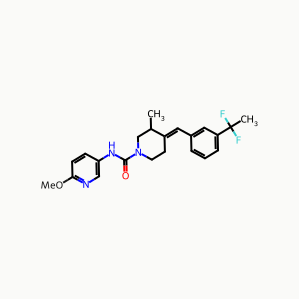 COc1ccc(NC(=O)N2CC/C(=C\c3cccc(C(C)(F)F)c3)C(C)C2)cn1